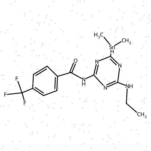 CCNc1nc(NC(=O)c2ccc(C(F)(F)F)cc2)n[c]([SnH]([CH3])[CH3])n1